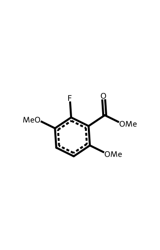 COC(=O)c1c(OC)ccc(OC)c1F